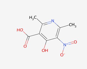 Cc1nc(C)c([N+](=O)[O-])c(O)c1C(=O)O